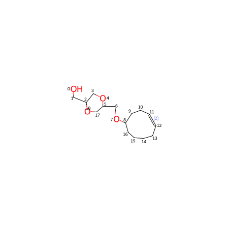 OCC1COC(COC2CC/C=C\CCCC2)CO1